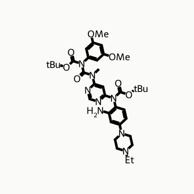 CCN1CCN(c2ccc(N(C(=O)OC(C)(C)C)c3cc(N(C)C(=O)N(C(=O)OC(C)(C)C)c4cc(OC)cc(OC)c4)ncn3)c(N)c2)CC1